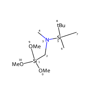 CO[Si](CN(C)[Si](C)(C)C(C)(C)C)(OC)OC